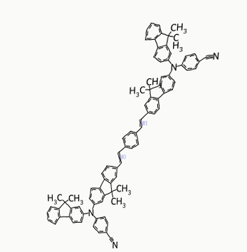 CC1(C)c2ccccc2-c2ccc(N(c3ccc(C#N)cc3)c3ccc4c(c3)C(C)(C)c3cc(/C=C/c5ccc(/C=C/c6ccc7c(c6)C(C)(C)c6cc(N(c8ccc(C#N)cc8)c8ccc9c(c8)C(C)(C)c8ccccc8-9)ccc6-7)cc5)ccc3-4)cc21